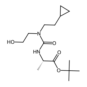 C[C@H](NC(=O)N(CCO)CCC1CC1)C(=O)OC(C)(C)C